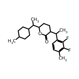 Cc1ccc(C(C)C2CCC(C(C)C3CCC(C)CC3)OC2=O)c(F)c1F